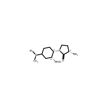 CC(=O)N[C@@H]1CC(N(C)C(C)C)CC[C@@H]1N1CC[C@H](N)C1=O